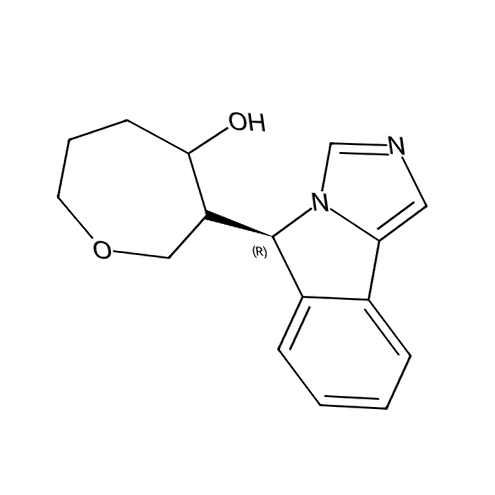 OC1CCCOCC1[C@@H]1c2ccccc2-c2cncn21